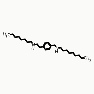 CCCCCCCCCNCc1ccc(CCNCCCCCCCC)cc1